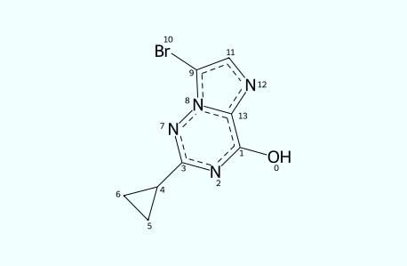 Oc1nc(C2CC2)nn2c(Br)cnc12